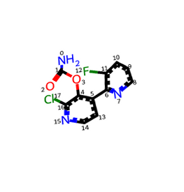 NC(=O)Oc1c(-c2ncccc2F)ccnc1Cl